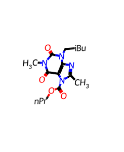 CCCOC(=O)n1c(C)nc2c1c(=O)n(C)c(=O)n2CC(C)CC